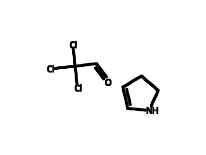 C1=CNCC1.O=CC(Cl)(Cl)Cl